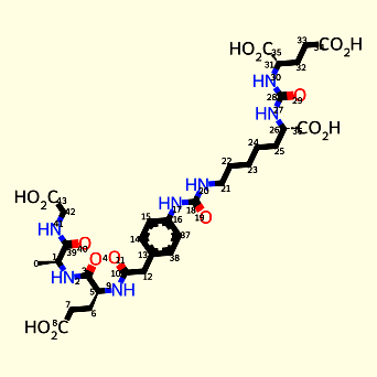 C[C@H](NC(=O)[C@H](CCC(=O)O)NC(=O)Cc1ccc(NC(=O)NCCCCC[C@H](NC(=O)N[C@@H](CCC(=O)O)C(=O)O)C(=O)O)cc1)C(=O)NCC(=O)O